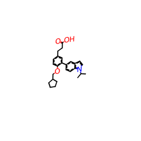 CC(C)n1ccc2cc(-c3cc(CCC(=O)O)ccc3OCC3CCCC3)ccc21